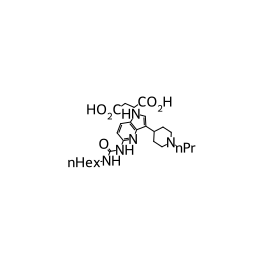 CCCCCCNC(=O)Nc1ccc2[nH]cc(C3CCN(CCC)CC3)c2n1.O=C(O)CCC(=O)O